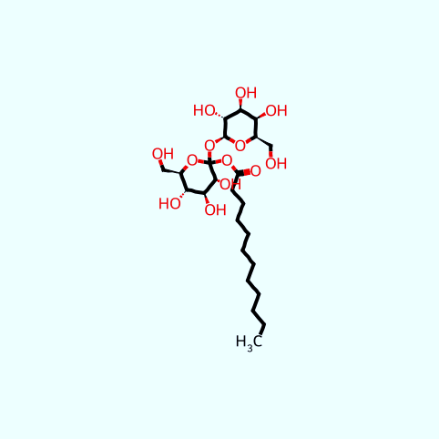 CCCCCCCCCCCC(=O)OC1(O[C@@H]2O[C@H](CO)[C@H](O)[C@H](O)[C@H]2O)O[C@H](CO)[C@@H](O)[C@H](O)[C@H]1O